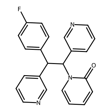 O=c1ccccn1C(c1cccnc1)C(c1ccc(F)cc1)c1cccnc1